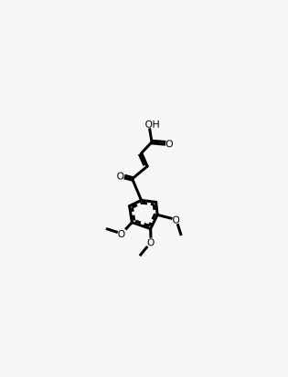 COc1cc(C(=O)C=CC(=O)O)cc(OC)c1OC